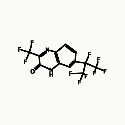 O=c1[nH]c2cc(C(F)(C(F)(F)F)C(F)(F)F)ccc2nc1C(F)(F)F